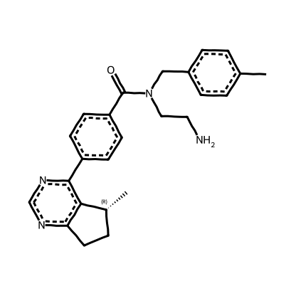 Cc1ccc(CN(CCN)C(=O)c2ccc(-c3ncnc4c3[C@H](C)CC4)cc2)cc1